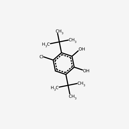 CC(C)(C)c1cc(Cl)c(C(C)(C)C)c(O)c1O